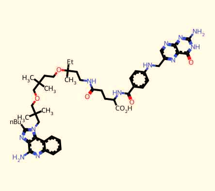 CCCCc1nc2c(N)nc3ccccc3c2n1CC(C)(C)COCC(C)(C)CCOC(C)(CC)CCNC(=O)CCC(NC(=O)c1ccc(NCc2cnc3nc(N)[nH]c(=O)c3n2)cc1)C(=O)O